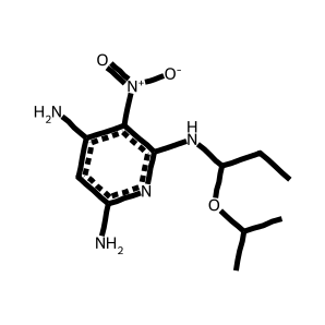 CCC(Nc1nc(N)cc(N)c1[N+](=O)[O-])OC(C)C